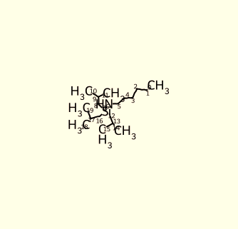 CCCCCCN[Si](CC(C)C)(CC(C)C)CC(C)C